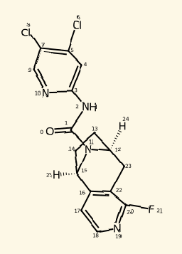 O=C(Nc1cc(Cl)c(Cl)cn1)N1[C@H]2CC[C@@H]1c1ccnc(F)c1C2